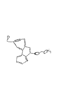 CCOc1cc2ccc(C=O)cc2c2ccccc12